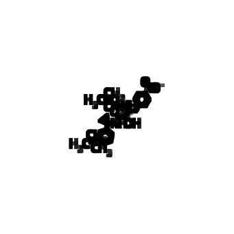 CC(C)(C)OC(=O)N[C@@H](Cc1ccc([N+](=O)[O-])cc1)[C@@H](O)CNC1(c2cccc(C(C)(C)C)c2)CC1